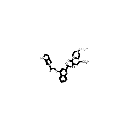 CCOC(=O)N1CCN(C(=O)C(CCC(=O)O)NC(=O)c2cc(OCC(=O)N3C=C4NCCC4C3)c3ccccc3n2)CC1